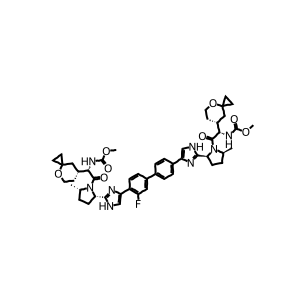 COC(=O)N[C@H](C(=O)N1[C@@H](C)CC[C@H]1c1nc(-c2ccc(-c3ccc(-c4c[nH]c([C@@H]5CC[C@H](C)N5C(=O)[C@@H](NC(=O)OC)[C@@H]5CCOC6(CC6)C5)n4)c(F)c3)cc2)c[nH]1)[C@@H]1CCOC2(CC2)C1